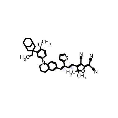 CCC1(c2cc(N3CCCc4cc(/C=C(/C=C/C5=C(C#N)C(=C(C#N)C#N)OC5(C)C)c5cccs5)ccc43)ccc2OC)CC2CCCC(C2)C1